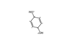 OC1C=CC(O)C=C1